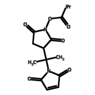 CC(C)C(=O)ON1C(=O)CC(C(C)(C)N2C(=O)C=CC2=O)C1=O